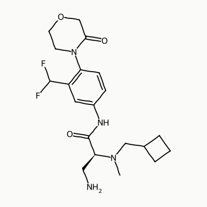 CN(CC1CCC1)[C@@H](CN)C(=O)Nc1ccc(N2CCOCC2=O)c(C(F)F)c1